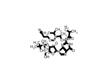 CC(C)C(=O)Nc1nc2c(ncn2[C@@H]2O[C@H](CO)C(O[Si](C)(C)C(C)(C)C)[C@@H]2OP(OCCC#N)N(C(C)C)C(C)C)c(=O)[nH]1